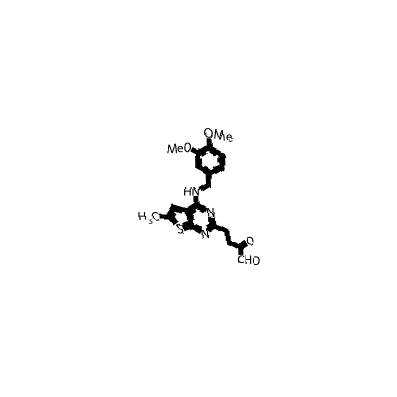 COc1ccc(CNc2nc(CCC(=O)C=O)nc3sc(C)cc23)cc1OC